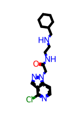 O=C(Cn1ncc2c(Cl)nccc21)NCCNCC1CCCCC1